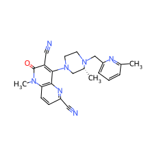 Cc1cccc(CN2CCN(c3c(C#N)c(=O)n(C)c4ccc(C#N)nc34)C[C@H]2C)n1